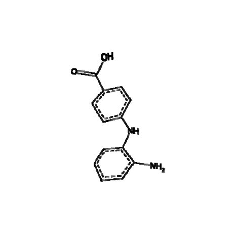 Nc1ccccc1Nc1ccc(C(=O)O)cc1